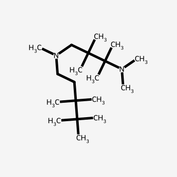 CN(CCC(C)(C)C(C)(C)C)CC(C)(C)C(C)(C)N(C)C